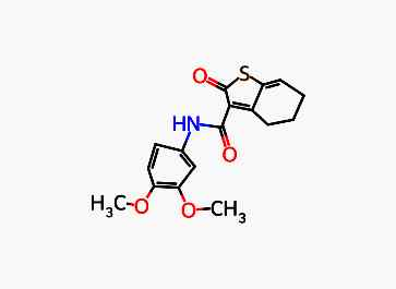 COc1ccc(NC(=O)C2=C3CCCC=C3SC2=O)cc1OC